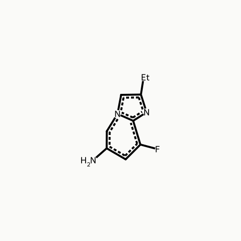 CCc1cn2cc(N)cc(F)c2n1